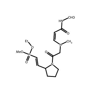 CCOP(=O)(/C=C/C1CCCN1C(=O)CN(C)/C=C\C(=O)NC=O)OC